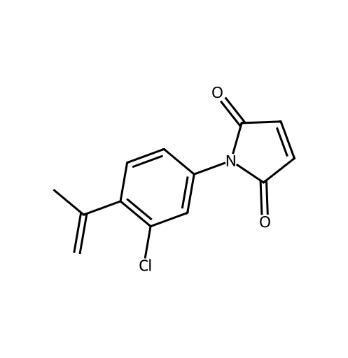 C=C(C)c1ccc(N2C(=O)C=CC2=O)cc1Cl